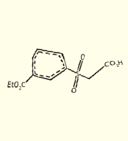 CCOC(=O)c1cccc(S(=O)(=O)CC(=O)O)c1